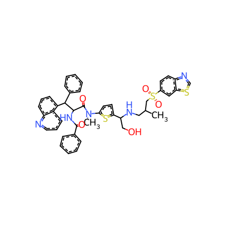 CC(CNC(CO)c1ccc(N(C)C(=O)C(NC(=O)c2ccccc2)C(c2ccccc2)c2cccc3ncccc23)s1)CS(=O)(=O)c1ccc2ncsc2c1